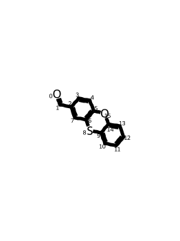 O=Cc1ccc2c(c1)Sc1ccccc1O2